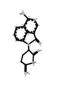 C=C1CCC(N2C(=O)c3cnc(O)c4cccc2c34)C(=O)N1